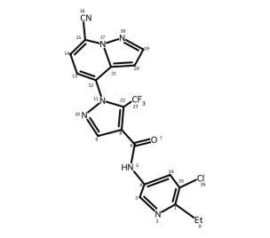 CCc1ncc(NC(=O)c2cnn(-c3ccc(C#N)n4nccc34)c2C(F)(F)F)cc1Cl